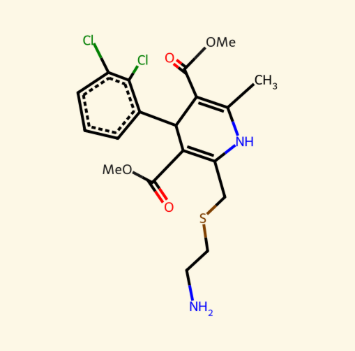 COC(=O)C1=C(C)NC(CSCCN)=C(C(=O)OC)C1c1cccc(Cl)c1Cl